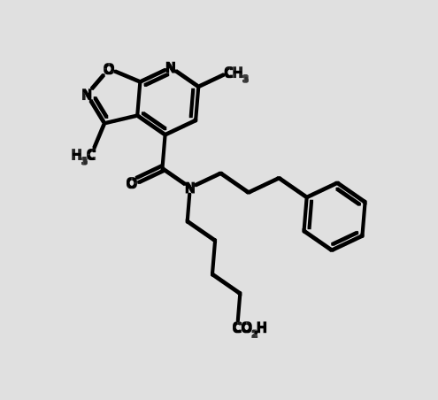 Cc1cc(C(=O)N(CCCCC(=O)O)CCCc2ccccc2)c2c(C)noc2n1